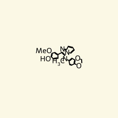 COc1cc(-c2nc3ccccn3c2N(C)c2ccc3c(c2)OCCO3)ccc1O